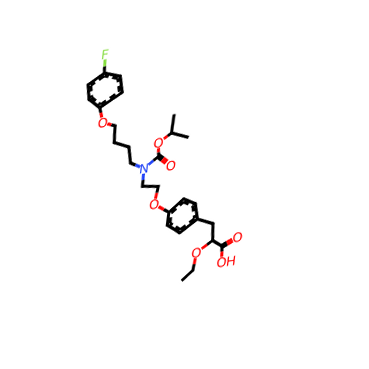 CCOC(Cc1ccc(OCCN(CCCCOc2ccc(F)cc2)C(=O)OC(C)C)cc1)C(=O)O